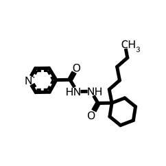 CCCCCC1(C(=O)NNC(=O)c2ccncc2)CCCCC1